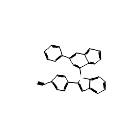 N#Cc1ccc(-c2cc3ccccc3n2-c2cc(-c3ccccc3)cc3ccccc23)cc1